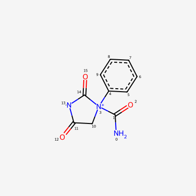 NC(=O)[N+]1(c2ccccc2)CC(=O)[N]C1=O